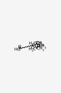 CCC1(C)CC(OC(=O)CCCCCCCCC(=O)O)C(C)(C)C(C)(CC)N1